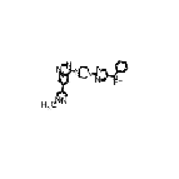 CC[C@@H](c1ccccc1)c1cnc(N2CCN(c3ncnn4cc(-c5cnn(C)c5)cc34)CC2)nc1